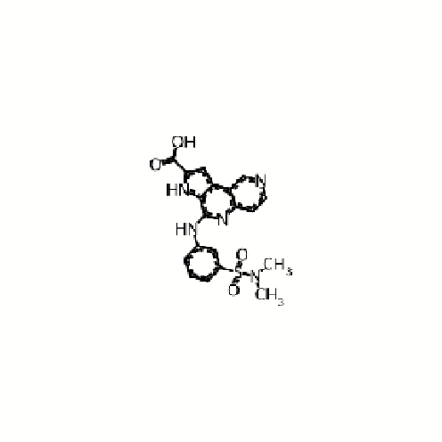 CN(C)S(=O)(=O)c1cccc(Nc2nc3ccncc3c3cc(C(=O)O)[nH]c23)c1